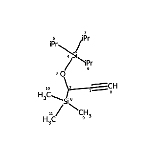 C#CC(O[Si](C(C)C)(C(C)C)C(C)C)[Si](C)(C)C